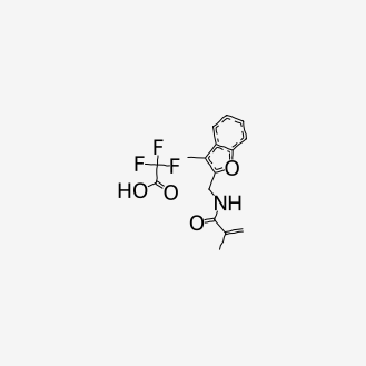 C=C(C)C(=O)NCc1oc2ccccc2c1C.O=C(O)C(F)(F)F